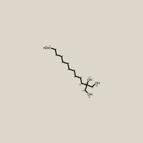 CCCCCCCCCCCCCCCCCCCCC(O)(CO)CO